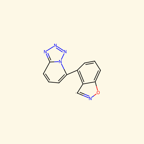 [c]1noc2cccc(-c3cccc4nnnn34)c12